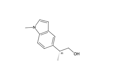 C[C@@H](CO)c1ccc2c(ccn2C)c1